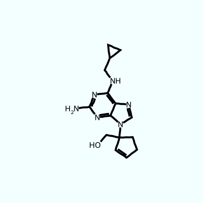 Nc1nc(NCC2CC2)c2ncn(C3(CO)C=CCC3)c2n1